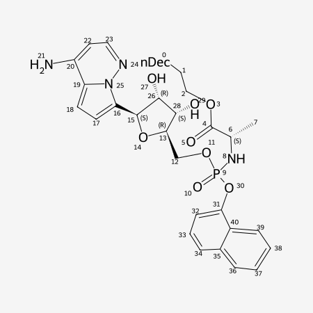 CCCCCCCCCCCCOC(=O)[C@H](C)NP(=O)(OC[C@H]1O[C@@H](c2ccc3c(N)ccnn23)[C@H](O)[C@@H]1O)Oc1cccc2ccccc12